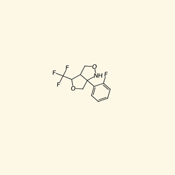 Fc1ccccc1C12COC(C(F)(F)F)C1CON2